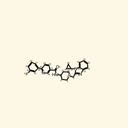 O=C(NC1CCN(Cc2nc3ccccc3n2C2CC2)CC1)c1ccc(-c2cccc(F)c2)nc1